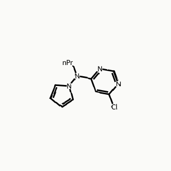 CCCN(c1cc(Cl)ncn1)n1cccc1